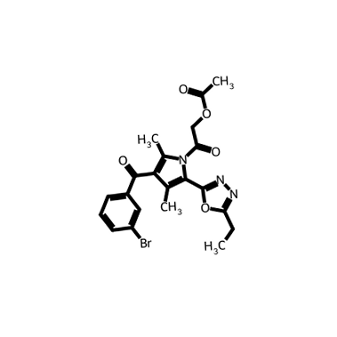 CCc1nnc(-c2c(C)c(C(=O)c3cccc(Br)c3)c(C)n2C(=O)COC(C)=O)o1